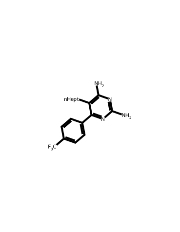 CCCCCCCc1c(N)nc(N)nc1-c1ccc(C(F)(F)F)cc1